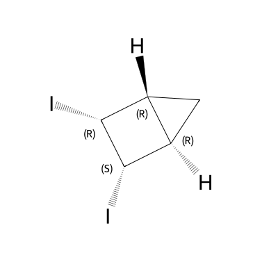 I[C@@H]1[C@H](I)[C@@H]2C[C@@H]12